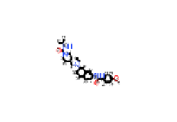 CCN(CC1CCN(C(=O)NC(C)C)CC1)C1CCc2ccc(NC(=O)c3ccc(OC)cc3)cc2C1